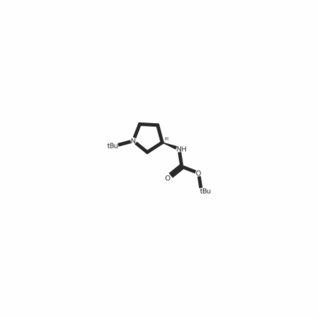 CC(C)(C)OC(=O)N[C@@H]1CCN(C(C)(C)C)C1